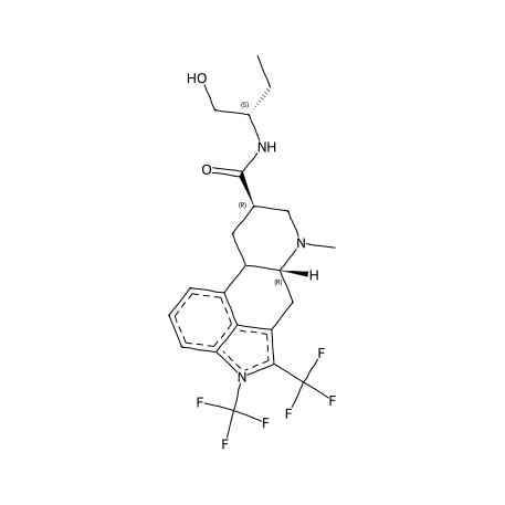 CC[C@@H](CO)NC(=O)[C@@H]1CC2c3cccc4c3c(c(C(F)(F)F)n4C(F)(F)F)C[C@H]2N(C)C1